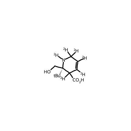 [2H]C1=C([2H])C([2H])(C(=O)O)[C@](CO)(C(C)(C)C)N([2H])C1([2H])[2H]